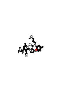 Cc1cccc(N(CCCN(C)C)C(=O)[C@@H]2[C@H](O)CCN2c2nc(C)cc(C(F)(F)F)c2C#N)c1